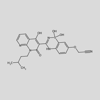 CC(C)CCn1c(=O)c(C2=NS(O)(O)c3cc(OCC#N)ccc3N2)c(O)c2cccnc21